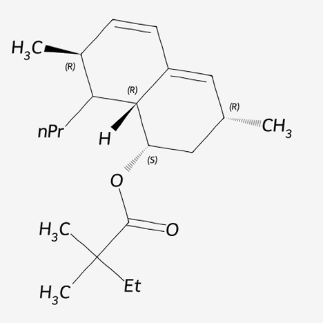 CCCC1[C@@H](C)C=CC2=C[C@H](C)C[C@H](OC(=O)C(C)(C)CC)[C@@H]21